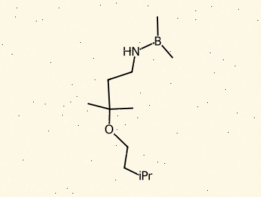 CB(C)NCCC(C)(C)OCCC(C)C